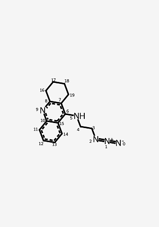 [N-]=[N+]=NCCNc1c2c(nc3ccccc13)CCCC2